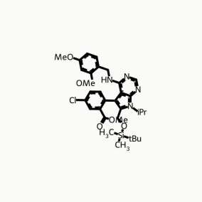 COC(=O)c1cc(Cl)ccc1-c1c(CO[Si](C)(C)C(C)(C)C)n(C(C)C)c2ncnc(NCc3ccc(OC)cc3OC)c12